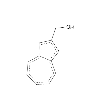 OCc1cc2cccccc-2c1